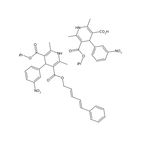 CC1=C(C(=O)O)C(c2cccc([N+](=O)[O-])c2)C(C(=O)OC(C)C)=C(C)N1.CC1=C(C(=O)OCC=CC=Cc2ccccc2)C(c2cccc([N+](=O)[O-])c2)C(C(=O)OC(C)C)=C(C)N1